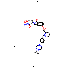 CC(C)N1CCN(c2ccc(CN3CCCCC3COc3ccc4c(c3)CN(C3CCC(=O)NC3=O)C4=O)cc2)CC1